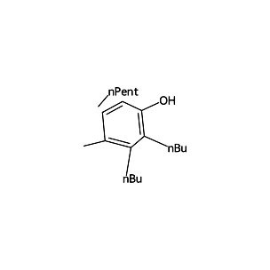 CCCCCC.CCCCc1c(C)ccc(O)c1CCCC